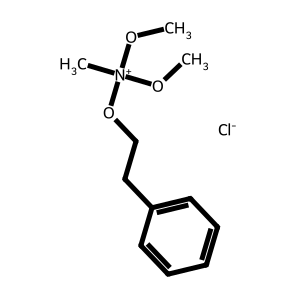 CO[N+](C)(OC)OCCc1ccccc1.[Cl-]